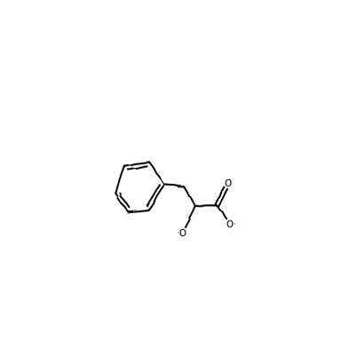 [O]C(=O)C([O])Cc1ccccc1